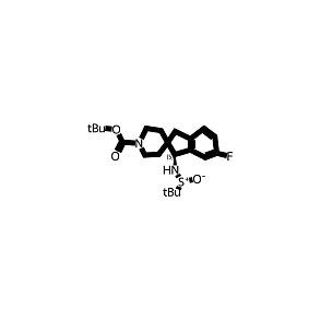 CC(C)(C)OC(=O)N1CCC2(CC1)Cc1ccc(F)cc1[C@H]2N[S+]([O-])C(C)(C)C